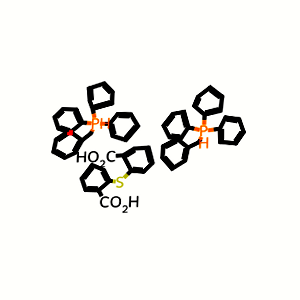 O=C(O)c1ccccc1Sc1ccccc1C(=O)O.c1ccc(C[PH](c2ccccc2)(c2ccccc2)c2ccccc2)cc1.c1ccc(C[PH](c2ccccc2)(c2ccccc2)c2ccccc2)cc1